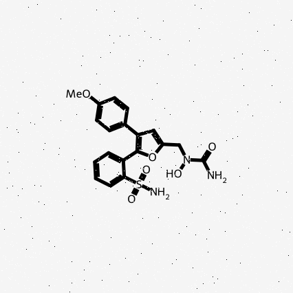 COc1ccc(-c2cc(CN(O)C(N)=O)oc2-c2ccccc2S(N)(=O)=O)cc1